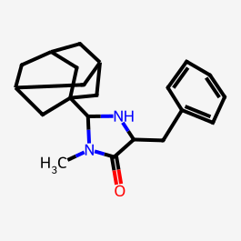 CN1C(=O)C(Cc2ccccc2)NC1C12CC3CC(CC(C3)C1)C2